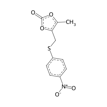 Cc1oc(=O)oc1CSc1ccc([N+](=O)[O-])cc1